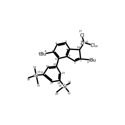 CCC(C)C1=Cc2c(ccc(C(C)(C)C)c2-c2cc([Si](C)(C)C)cc([Si](C)(C)C)c2)[CH]1[Zr]([Cl])[Cl]